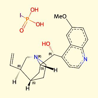 C=C[C@H]1C[N@]2CC[C@H]1C[C@H]2[C@H](O)c1ccnc2ccc(OC)cc12.O=P(O)(O)I